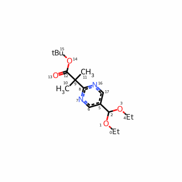 CCOC(OCC)c1cnc(C(C)(C)C(=O)OC(C)(C)C)nc1